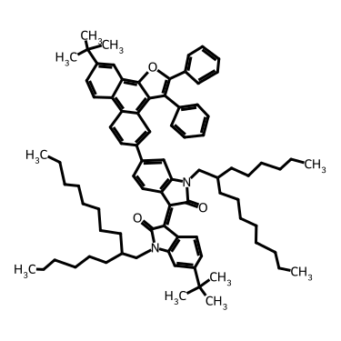 CCCCCCCCC(CCCCCC)CN1C(=O)/C(=C2/C(=O)N(CC(CCCCCC)CCCCCCCC)c3cc(C(C)(C)C)ccc32)c2ccc(-c3ccc4c5ccc(C(C)(C)C)cc5c5oc(-c6ccccc6)c(-c6ccccc6)c5c4c3)cc21